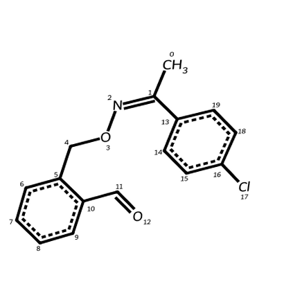 CC(=NOCc1ccccc1C=O)c1ccc(Cl)cc1